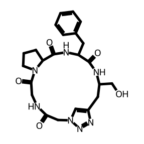 O=C1Cn2cc(nn2)CC(CO)NC(=O)C(Cc2ccccc2)NC(=O)C2CCCN2C(=O)CN1